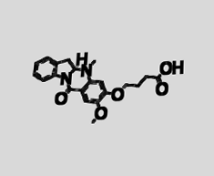 COc1cc2c(cc1OCCCC(=O)O)N(C)[C@@H]1Cc3ccccc3N1C2=O